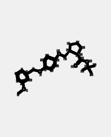 COc1cccc(COc2ccc(OC[C@H]3CCCN3C(=O)OC(C)(C)C)cc2)c1